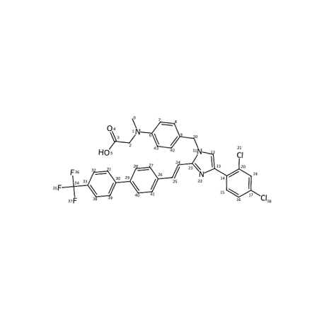 CN(CC(=O)O)c1ccc(Cn2cc(-c3ccc(Cl)cc3Cl)nc2C=Cc2ccc(-c3ccc(C(F)(F)F)cc3)cc2)cc1